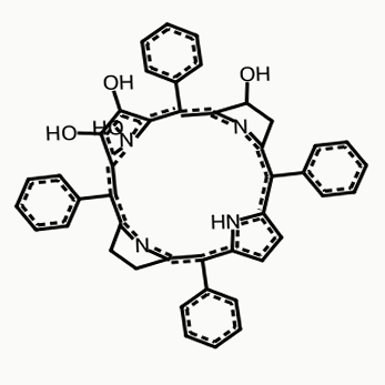 Oc1c(O)c2c(-c3ccccc3)c3nc(c(-c4ccccc4)c4ccc([nH]4)c(-c4ccccc4)c4nc(c(-c5ccccc5)c1n2O)CC4)CC3O